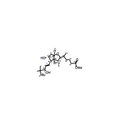 CCCCC(C)(C)[C@H](O)/C=C/[C@@H]1[C@@H]2[C@H](C[C@H]1O)OC(C(I)CCCC(=O)OC)[C@@H]2F